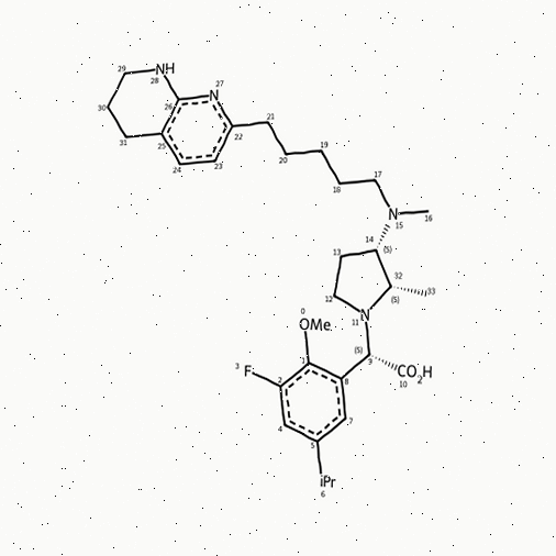 COc1c(F)cc(C(C)C)cc1[C@@H](C(=O)O)N1CC[C@H](N(C)CCCCCc2ccc3c(n2)NCCC3)[C@@H]1C